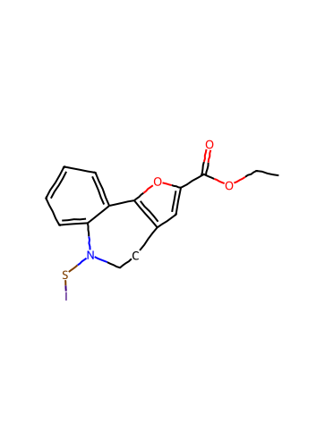 CCOC(=O)c1cc2c(o1)-c1ccccc1N(SI)CC2